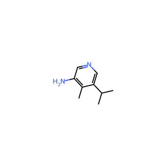 Cc1c(N)cncc1C(C)C